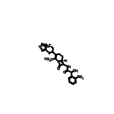 O=C(O)CC(Sc1nnn[nH]1)C1=C(C(=O)O)N2C(=O)C(NC(=O)C(O)c3ccccc3[N+](=O)[O-])[C@@H]2SC1